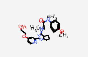 COc1ccc(N(C)C(=O)CN(C)c2nc(-c3cc(OCCO)ccn3)nc3c2CCC3)cc1